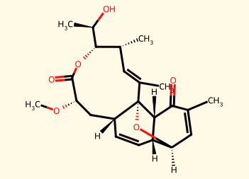 CO[C@H]1C[C@H]2C=C[C@H]3[C@@H]4C=C(C)C(=O)[C@H]3[C@]2(O4)/C(C)=C/[C@@H](C)[C@@H]([C@@H](C)O)OC1=O